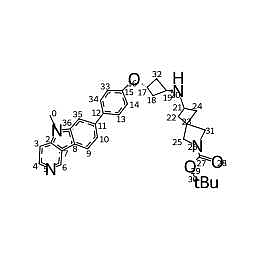 Cn1c2ccncc2c2ccc(-c3ccc(O[C@H]4C[C@H](NC5CC6(C5)CN(C(=O)OC(C)(C)C)C6)C4)cc3)cc21